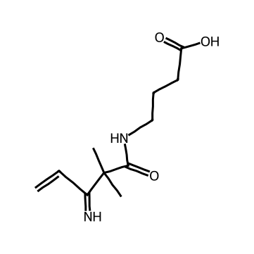 C=CC(=N)C(C)(C)C(=O)NCCCC(=O)O